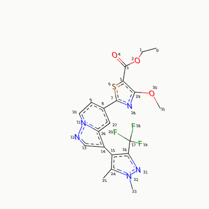 CCOC(=O)c1sc(-c2ccn3ncc(-c4c(C(F)(F)F)nn(C)c4C)c3c2)nc1OC